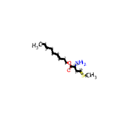 CCCCCCCCCOC(=O)C(N)CCSC